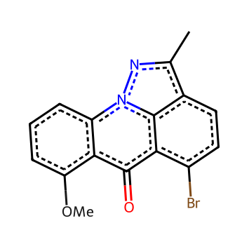 COc1cccc2c1c(=O)c1c(Br)ccc3c(C)nn2c31